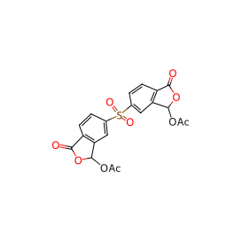 CC(=O)OC1OC(=O)c2ccc(S(=O)(=O)c3ccc4c(c3)C(OC(C)=O)OC4=O)cc21